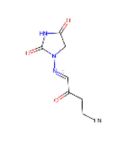 N#CCCC(=O)/C=N/N1CC(=O)NC1=O